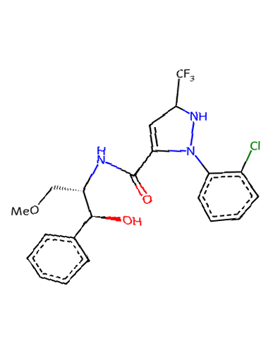 COC[C@H](NC(=O)C1=CC(C(F)(F)F)NN1c1ccccc1Cl)[C@@H](O)c1ccccc1